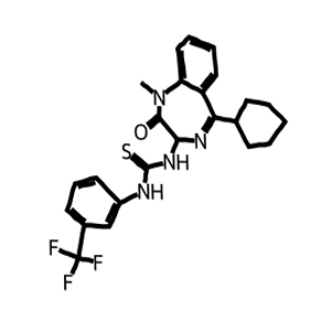 CN1C(=O)C(NC(=S)Nc2cccc(C(F)(F)F)c2)N=C(C2CCCCC2)c2ccccc21